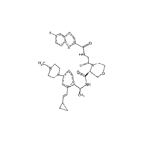 C[C@H](NC(=O)[C@@H]1COCCN1C(=O)CNC(=O)c1ccc2cc(F)ccc2n1)c1ccc(N2CCN(C)CC2)cc1/C=C/C1CC1